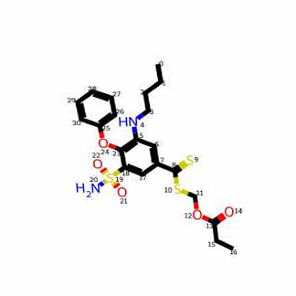 CCCCNc1cc(C(=S)SCOC(=O)CC)cc(S(N)(=O)=O)c1Oc1ccccc1